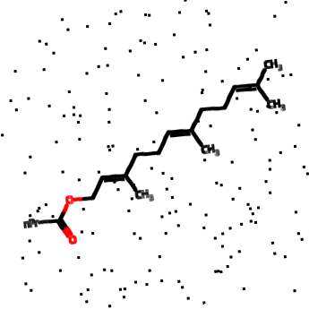 CCCC(=O)OC/C=C(\C)CC/C=C(\C)CCC=C(C)C